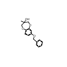 CC1(O)COc2ccc(OCc3ccccc3)cc2OC1